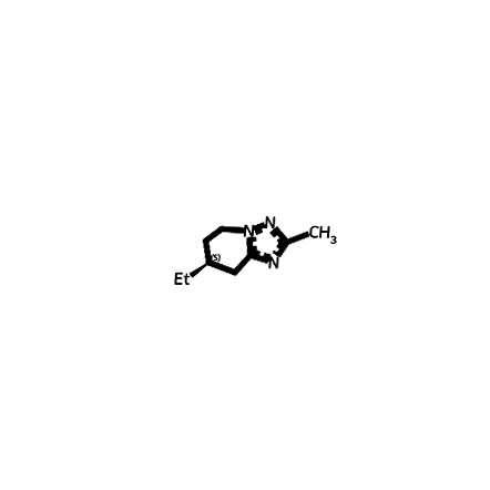 CC[C@H]1CCn2nc(C)nc2C1